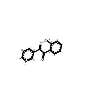 O=C(C(=O)c1ccccc1Cl)c1cccnc1